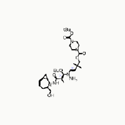 C/C(C(=O)N[C@@H]1C(CO)CC=C=C2CC21)=C(/OCC(C)C)N(N)/C=C/C(C)(C)COC(=O)N1CCN(C(=O)OC(C)(C)C)CC1